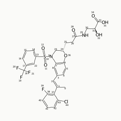 C/C(=C\c1ccc2c(c1)N(S(=O)(=O)c1cccc(C(F)(F)F)c1)C[C@H](CCC(=O)NC[C@H](O)C(=O)O)O2)c1c(F)cccc1Cl